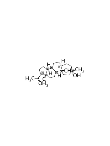 CC(=O)[C@H]1CC[C@H]2[C@@H]3CC[C@H]4CC[C@](C)(O)CC[C@]4(C)[C@H]3CC[C@]12C